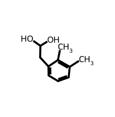 Cc1cccc(CC(O)O)c1C